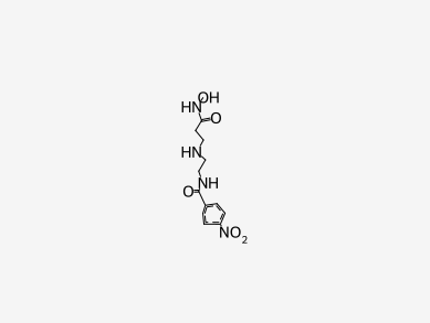 O=C(CCNCCNC(=O)c1ccc([N+](=O)[O-])cc1)NO